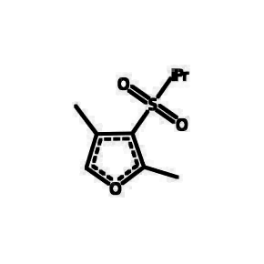 Cc1coc(C)c1S(=O)(=O)C(C)C